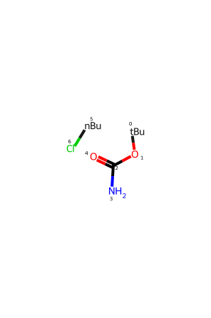 CC(C)(C)OC(N)=O.CCCCCl